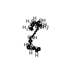 Cc1ncsc1-c1ccc([C@H](C)NC(=O)C2C[C@@H](O)CN2C(=O)[C@@H](NC(=O)CCCCCCCCNC(=O)c2ccc(C(=O)Nc3cccc(Nc4cc(-c5c[nH]c6ccccc56)ncn4)c3)cc2)C(C)(C)C)cc1